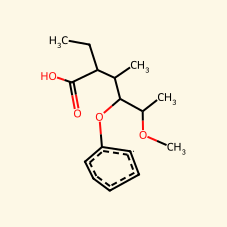 CCC(C(=O)O)C(C)C(Oc1[c]cccc1)C(C)OC